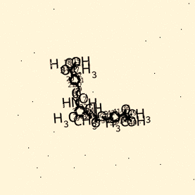 CC1(C)CC(NC(=O)OCc2ccc(C(=O)C(C)(C)O)cc2)CC(C)(CNC(=O)OCc2ccc(C(=O)C(C)(C)O)cc2)C1